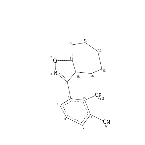 N#Cc1cccc(C2=NOC3CCCCCC23)c1C(F)(F)F